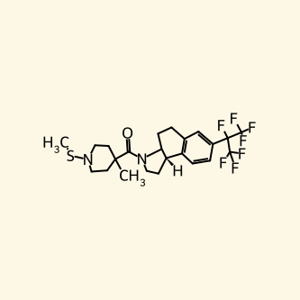 CSN1CCC(C)(C(=O)N2CC[C@H]3c4ccc(C(F)(C(F)(F)F)C(F)(F)F)cc4CCC32)CC1